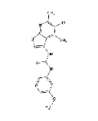 COc1cccc(NC(=O)Nc2noc3nc(C)c(Cl)c(C)c23)c1